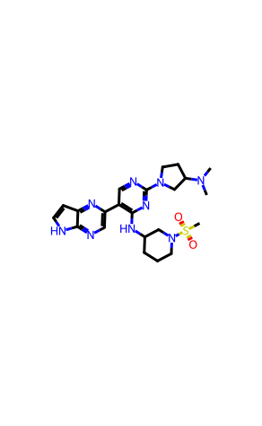 CN(C)C1CCN(c2ncc(-c3cnc4[nH]ccc4n3)c(NC3CCCN(S(C)(=O)=O)C3)n2)C1